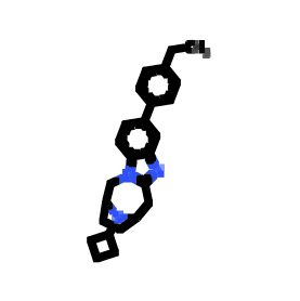 CCc1ccc(-c2ccc3c(c2)nc2n3CC3CCC(C2)N3C2CCC2)cc1